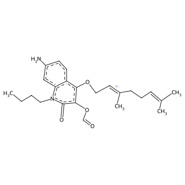 CCCCn1c(=O)c(OC=O)c(OC/C=C(\C)CCC=C(C)C)c2ccc(N)cc21